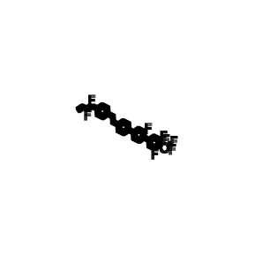 C=C/C(F)=C(\F)c1ccc(CCc2ccc(-c3ccc(-c4cc(F)c(OC(F)(F)F)c(F)c4)c(F)c3)cc2)cc1